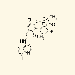 COc1c(CCNc2ncnc3[nH]cnc23)cc(Cl)c(C)c1-c1ccc(F)c(C(=O)N(C)C)c1